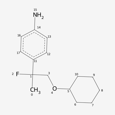 CC(F)(COC1CCCCC1)c1ccc(N)cc1